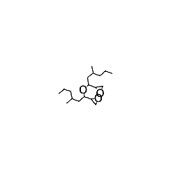 CCCC(C)CC(OC(CC(C)CCC)C1CO1)C1CO1